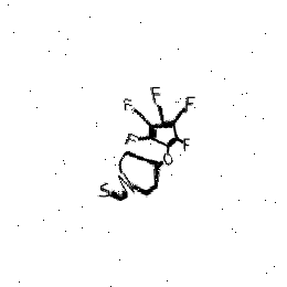 Fc1c(F)c(F)c(OC2CCN(C=S)CC2)c(F)c1F